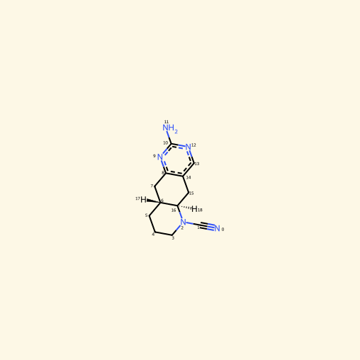 N#CN1CCC[C@@H]2Cc3nc(N)ncc3C[C@H]21